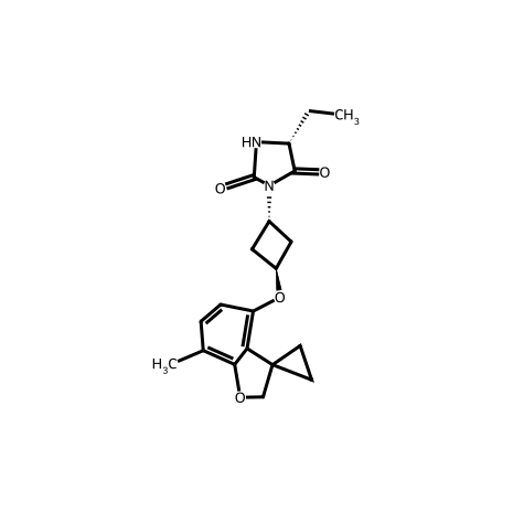 CC[C@H]1NC(=O)N([C@H]2C[C@H](Oc3ccc(C)c4c3C3(CC3)CO4)C2)C1=O